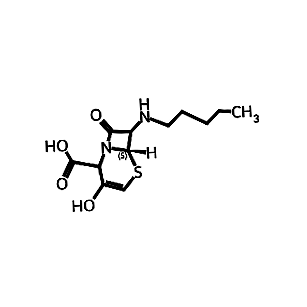 CCCCCNC1C(=O)N2C(C(=O)O)C(O)=CS[C@@H]12